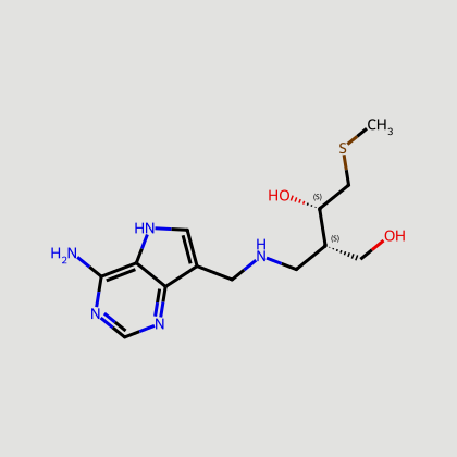 CSC[C@@H](O)[C@H](CO)CNCc1c[nH]c2c(N)ncnc12